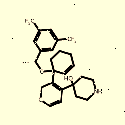 C[C@@H](OC1(C2=C(C3(O)CCNCC3)C=COC2)C=CCCC1)c1cc(C(F)(F)F)cc(C(F)(F)F)c1